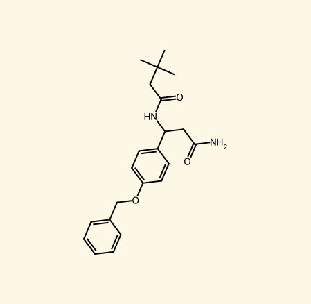 CC(C)(C)CC(=O)NC(CC(N)=O)c1ccc(OCc2ccccc2)cc1